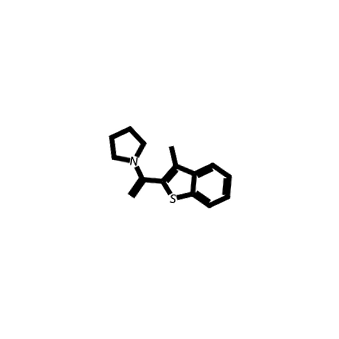 C=C(c1sc2ccccc2c1C)N1CCCC1